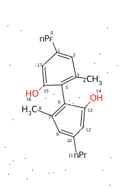 CCCc1cc(C)c(-c2c(C)cc(CCC)cc2O)c(O)c1